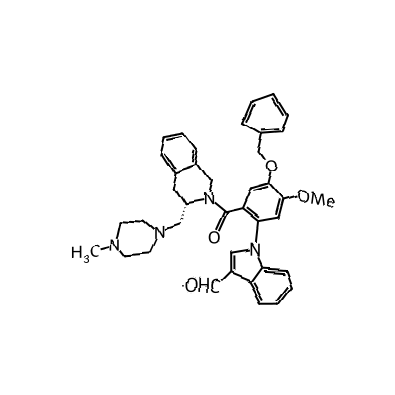 COc1cc(-n2cc([C]=O)c3ccccc32)c(C(=O)N2Cc3ccccc3C[C@H]2CN2CCN(C)CC2)cc1OCc1ccccc1